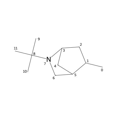 CC1CC2CC1CN2C(C)(C)C